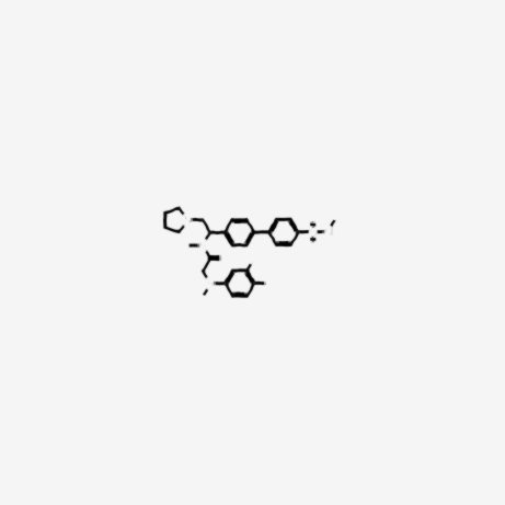 CNS(=O)(=O)c1ccc(-c2ccc(C(CN3CCCC3)N(C)C(=O)CN(C)c3ccc(Cl)c(Cl)c3)cc2)cc1